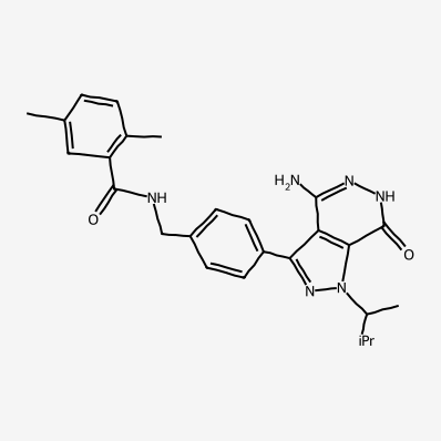 Cc1ccc(C)c(C(=O)NCc2ccc(-c3nn(C(C)C(C)C)c4c(=O)[nH]nc(N)c34)cc2)c1